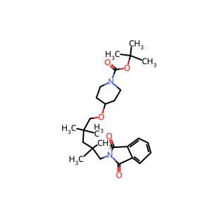 CC(C)(COC1CCN(C(=O)OC(C)(C)C)CC1)CC(C)(C)CN1C(=O)c2ccccc2C1=O